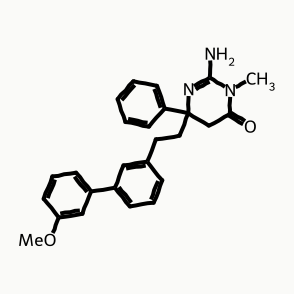 COc1cccc(-c2cccc(CCC3(c4ccccc4)CC(=O)N(C)C(N)=N3)c2)c1